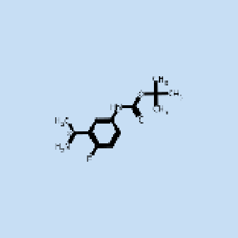 C[C@H](N)c1cc(NC(=O)OC(C)(C)C)ccc1F